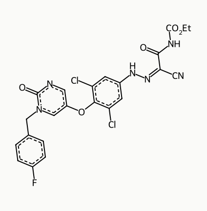 CCOC(=O)NC(=O)C(C#N)=NNc1cc(Cl)c(Oc2cnc(=O)n(Cc3ccc(F)cc3)c2)c(Cl)c1